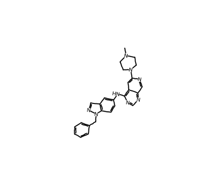 CN1CCN(c2cc3c(Nc4ccc5c(cnn5Cc5ccccc5)c4)ncnc3cn2)CC1